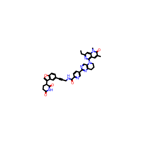 CCc1cc2c(cc(C)c(=O)n2C)c(N2CCCc3nc(-c4ccc(C(=O)NCC#Cc5ccc6occ(C7CCC(=O)NC7=O)c6c5)nc4)ncc32)n1